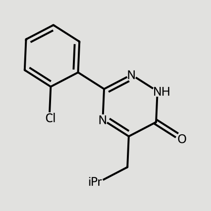 CC(C)Cc1nc(-c2ccccc2Cl)n[nH]c1=O